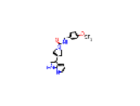 O=C(NCc1ccc(OC(F)(F)F)cc1)N1CC=C(c2c[nH]c3ncccc23)CC1